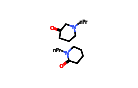 CCCN1CCCC(=O)C1.CCCN1CCCCC1=O